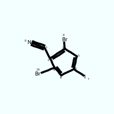 N#Cc1c(Br)cc(I)cc1Br